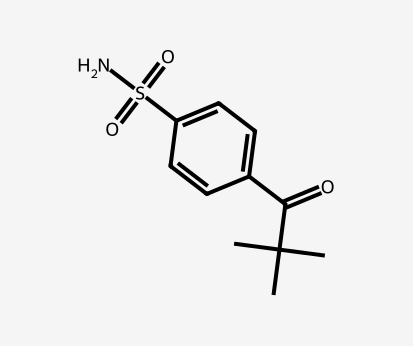 CC(C)(C)C(=O)c1ccc(S(N)(=O)=O)cc1